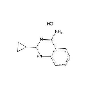 Cl.NC1=NC(C2CC2)Nc2ccccc21